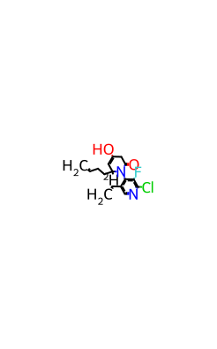 [2H]C1(CCC=C)C=C(O)CC(=O)N1c1c(C=C)cnc(Cl)c1F